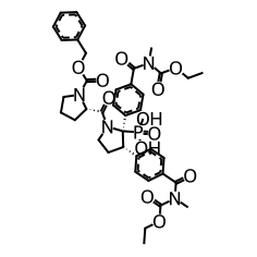 CCOC(=O)N(C)C(=O)c1ccc([C@@H]2CCN(C(=O)[C@@H]3CCCN3C(=O)OCc3ccccc3)[C@@]2(c2ccc(C(=O)N(C)C(=O)OCC)cc2)P(=O)(O)O)cc1